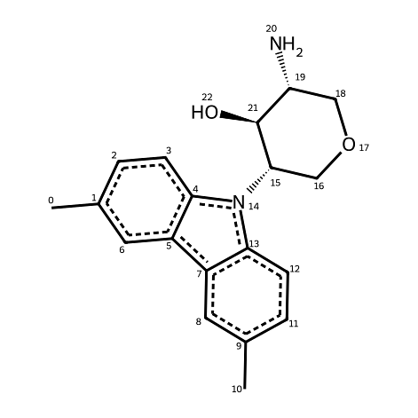 Cc1ccc2c(c1)c1cc(C)ccc1n2[C@H]1COC[C@@H](N)[C@@H]1O